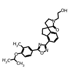 Cc1cc(-c2nc(-c3cccc4c3CCC43CCN(CCO)C3=O)no2)ccc1OC(C)C